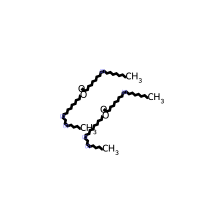 CCCCC/C=C\C/C=C\CCCCCCCCOC(=O)CCCCCCC/C=C\CCCCCCCC.CCCCC/C=C\C/C=C\CCCCCCCCOC(=O)CCCCCCC/C=C\CCCCCCCC